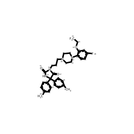 Cc1ccc(C2(c3ccc(C)cc3)NC(=O)N(CCCN3CCN(c4ccc(F)cc4OCC(F)(F)F)CC3)C2=O)cc1